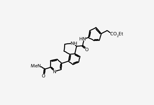 CCOC(=O)Cc1ccc(NC(=O)C2NCCc3c(-c4ccc(C(=O)NC)nc4)cccc32)cc1